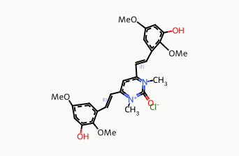 COc1cc(O)c(OC)c(/C=C/c2cc(/C=C/c3cc(OC)cc(O)c3OC)[n+](C)c(=O)n2C)c1.[Cl-]